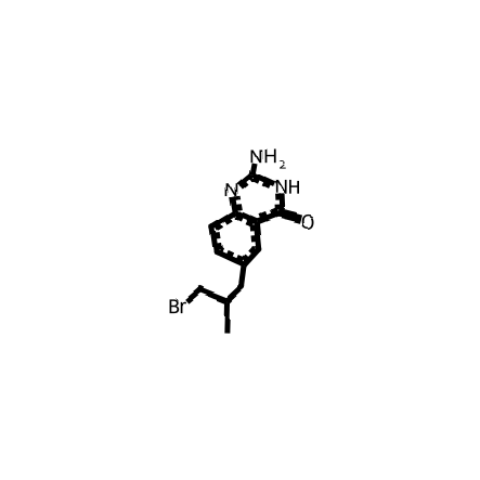 CC(CBr)Cc1ccc2nc(N)[nH]c(=O)c2c1